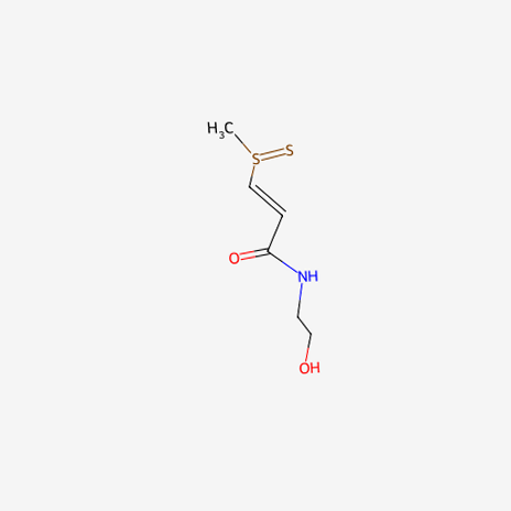 CS(=S)C=CC(=O)NCCO